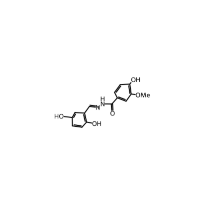 COc1cc(C(=O)NN=Cc2cc(O)ccc2O)ccc1O